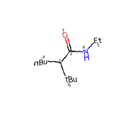 CCCCC(C(=O)NCC)C(C)(C)C